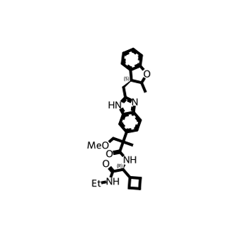 CCNC(=O)[C@H](NC(=O)C(C)(COC)c1ccc2nc(C[C@H]3c4ccccc4OC3C)[nH]c2c1)C1CCC1